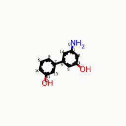 Nc1cc(O)cc(-c2cccc(O)c2)c1